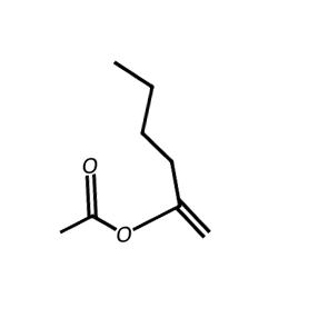 C=C(CCCC)OC(C)=O